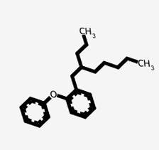 CCCCCC(CCC)Cc1ccccc1Oc1ccccc1